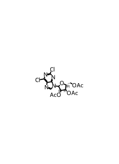 CC(=O)OC[C@H]1OC(n2cnc3c(Cl)nc(Cl)nc32)[C@H](OC(C)=O)[C@@H]1OC(C)=O